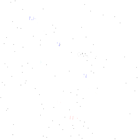 C#Cc1sc2c(c1O)c(=O)c1cc(F)c(N3CCCC(CN)C3)c(OC)c1n2C1CC1